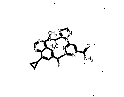 C[C@@H](c1ncnn1-c1cc(C(N)=O)ncn1)N(C)c1ncnc2c(C3CC3)cc(C(F)F)cc12